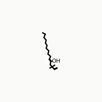 C=CC(C)(C)CC(O)=CCCCCCCCCCC